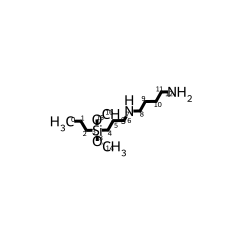 CCC[Si](CCCNCCCCN)(OC)OC